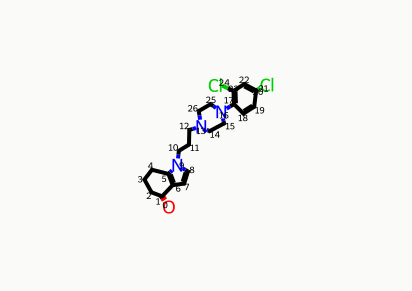 O=C1CCCc2c1ccn2CCCN1CCN(c2ccc(Cl)cc2Cl)CC1